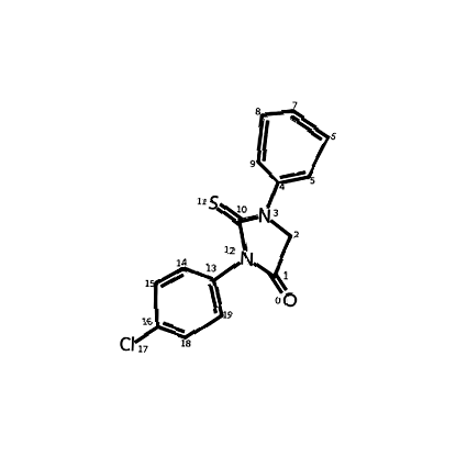 O=C1CN(c2ccccc2)C(=S)N1c1ccc(Cl)cc1